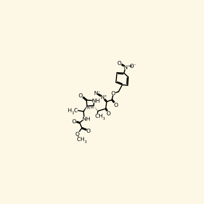 COC(=O)C(=O)NC(C)[C@H]1C(=O)N[C@@H]1C(C)C(=O)C(=[N+]=[N-])C(=O)OCc1ccc([N+](=O)[O-])cc1